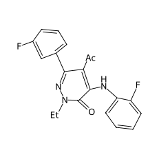 CCn1nc(-c2cccc(F)c2)c(C(C)=O)c(Nc2ccccc2F)c1=O